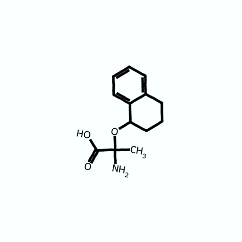 CC(N)(OC1CCCc2ccccc21)C(=O)O